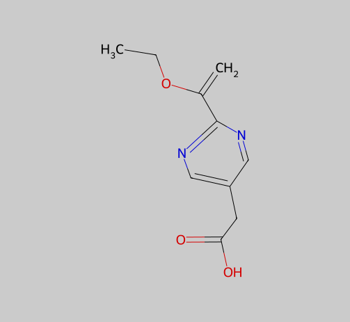 C=C(OCC)c1ncc(CC(=O)O)cn1